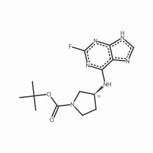 CC(C)(C)OC(=O)N1CC[C@H](Nc2nc(F)nc3[nH]cnc23)C1